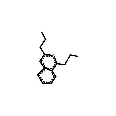 CCCc1cc2ccccc2c(CCC)n1